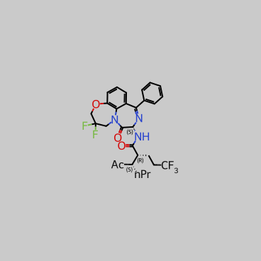 CCC[C@H](C(C)=O)[C@@H](CCC(F)(F)F)C(=O)N[C@H]1N=C(c2ccccc2)c2cccc3c2N(CC(F)(F)CO3)C1=O